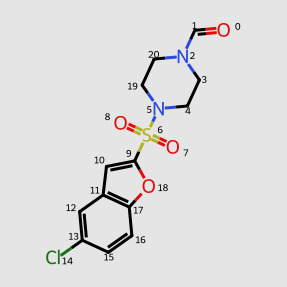 O=CN1CCN(S(=O)(=O)c2cc3cc(Cl)ccc3o2)CC1